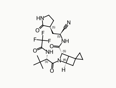 CC(C)(C)[C@H](NC(=O)C(F)(F)F)C(=O)N1[C@@H]2CC3(CC3)C2[C@H]1C(=O)N[C@H](C#N)C[C@@H]1CCNC1=O